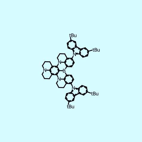 CC(C)(C)c1ccc2c(c1)c1cc(C(C)(C)C)ccc1n2-c1ccc2c3c1CCCN3c1c3c4c(c5c1B2c1ccc(-n2c6ccc(C(C)(C)C)cc6c6cc(C(C)(C)C)ccc62)c2c1N5CCC2)CCCN4CCC3